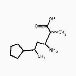 CC(CC(N)C(C)C(=O)O)C1CCCC1